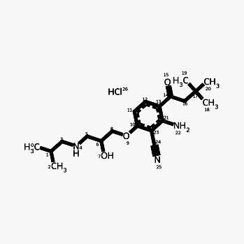 CC(C)CNCC(O)COc1ccc(C(=O)CC(C)(C)C)c(N)c1C#N.Cl